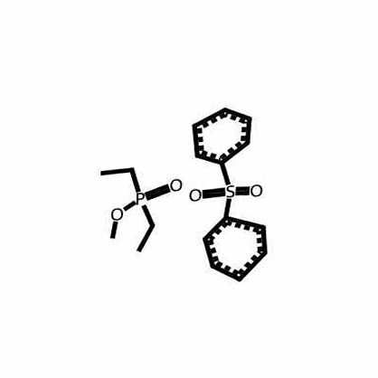 CCP(=O)(CC)OC.O=S(=O)(c1ccccc1)c1ccccc1